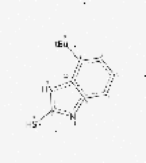 CC(C)(C)c1cccc2nc(S)[nH]c12